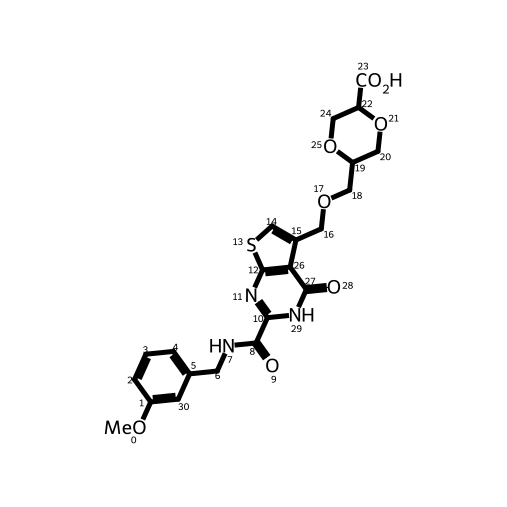 COc1cccc(CNC(=O)c2nc3scc(COCC4COC(C(=O)O)CO4)c3c(=O)[nH]2)c1